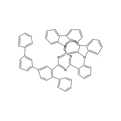 c1ccc(-c2cccc(-c3ccc(-c4ccccc4)c(-c4nc(-c5ccccc5-n5c6ccccc6c6ccccc65)nc(-n5c6ccccc6c6ccccc65)n4)c3)c2)cc1